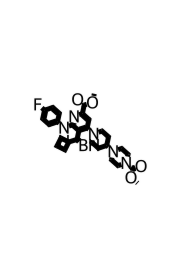 B=C(c1c(N2CCC(N3CCN(C(=O)OC)CC3)CC2)cc(C(=O)OC)nc1Nc1ccc(F)cc1)C1CCC1